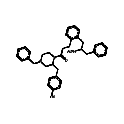 CC(=O)NC(Cc1ccccc1)Cc1ccccc1CCC(=O)N1CCN(Cc2ccccc2)CC1Cc1ccc(C#N)cc1